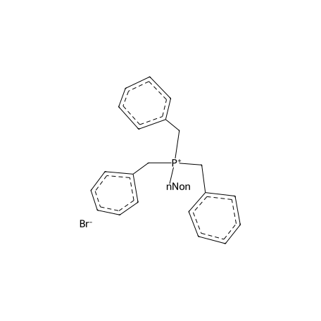 CCCCCCCCC[P+](Cc1ccccc1)(Cc1ccccc1)Cc1ccccc1.[Br-]